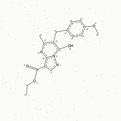 CCOC(=O)c1cnn2c(O)c(Cc3ccc(OC)cc3)c(C)nc12